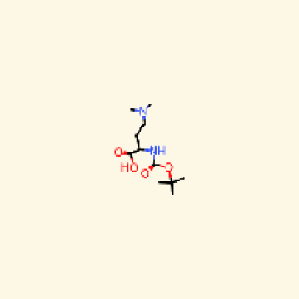 CN(C)CCC(NC(=O)OC(C)(C)C)C(=O)O